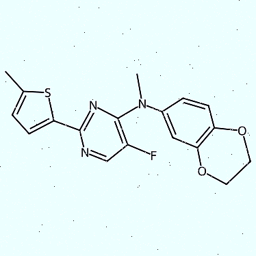 Cc1ccc(-c2ncc(F)c(N(C)c3ccc4c(c3)OCCO4)n2)s1